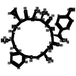 CC(c1ccc(O)cc1)[C@H]1NC(=O)[C@@H](C)N(C)C(=O)[C@H](C2CC2)NC[C@@H](C)Oc2ccccc2CC[C@H](C)NC1=O